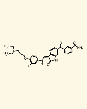 CCN(CC)CCCOc1ccc(NC=C2C(=O)Nc3cc(C(=O)c4cccc(C(N)=O)c4)ccc32)cc1F